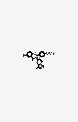 COc1ccc(COc2ccc(F)cc2C(C)Nc2ccn3ncc(I)c3n2)cc1